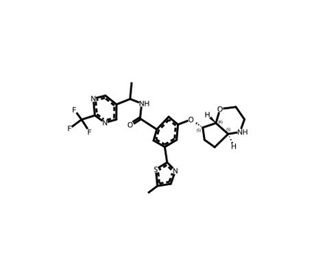 Cc1cnc(-c2cc(O[C@H]3CC[C@@H]4NCCO[C@H]43)cc(C(=O)NC(C)c3cnc(C(F)(F)F)nc3)c2)s1